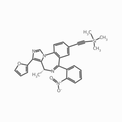 C[C@H]1N=C(c2ccccc2[N+](=O)[O-])c2cc(C#C[Si](C)(C)C)ccc2-n2cnc(-c3ccco3)c21